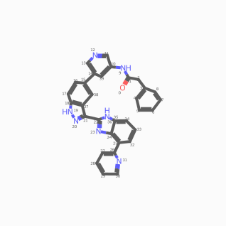 O=C(Cc1ccccc1)Nc1cncc(-c2ccc3[nH]nc(-c4nc5c(-c6ccccn6)cccc5[nH]4)c3c2)c1